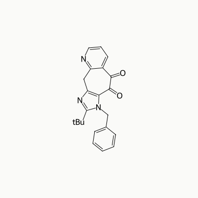 CC(C)(C)c1nc2c(n1Cc1ccccc1)C(=O)C(=O)c1cccnc1C2